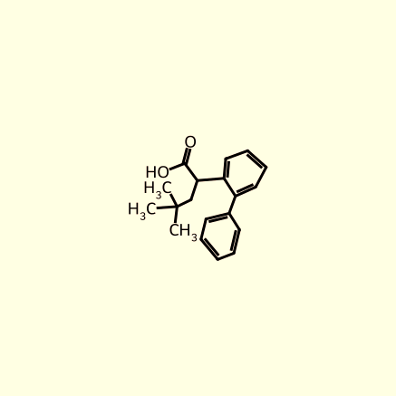 CC(C)(C)CC(C(=O)O)c1ccccc1-c1ccccc1